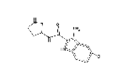 Cc1c(C(=O)NC2CCNC2)[nH]c2ccc(Cl)cc12